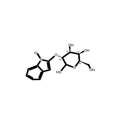 OC[C@H]1OC(O)[C@H](Oc2cc3ccccc3n2Cl)[C@@H](O)[C@H]1O